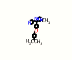 CC(C)c1ccc(COc2ccc(-c3c(-c4ccncc4)nn4c3CN(C)CC4)cc2)cc1